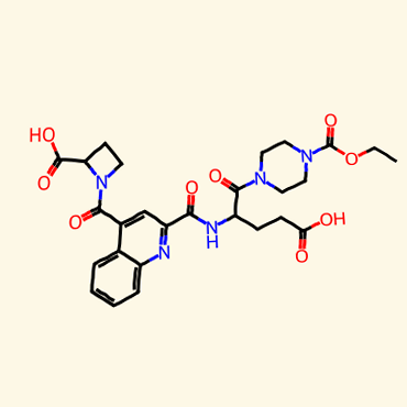 CCOC(=O)N1CCN(C(=O)C(CCC(=O)O)NC(=O)c2cc(C(=O)N3CCC3C(=O)O)c3ccccc3n2)CC1